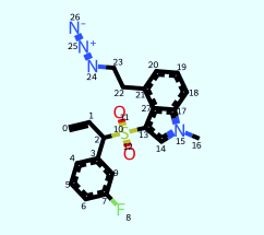 C=CC(c1cccc(F)c1)S(=O)(=O)c1cn(C)c2cccc(CCN=[N+]=[N-])c12